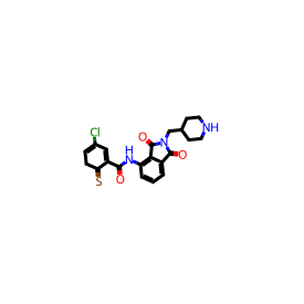 O=C(Nc1cccc2c1C(=O)N(CC1CCNCC1)C2=O)C1=CC(Cl)=CCC1=S